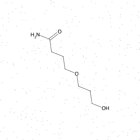 NC(=O)CCCOCCCO